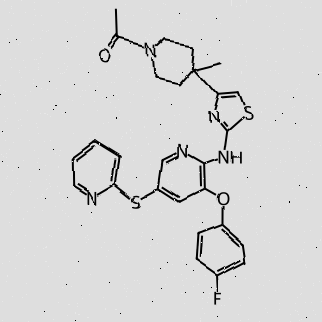 CC(=O)N1CCC(C)(c2csc(Nc3ncc(Sc4ccccn4)cc3Oc3ccc(F)cc3)n2)CC1